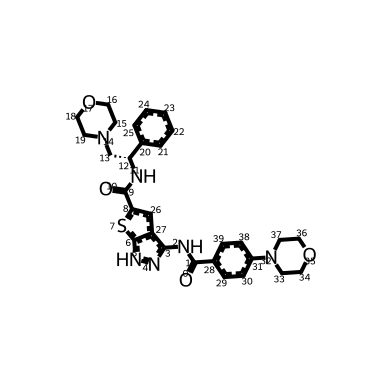 O=C(Nc1n[nH]c2sc(C(=O)N[C@H](CN3CCOCC3)c3ccccc3)cc12)c1ccc(N2CCOCC2)cc1